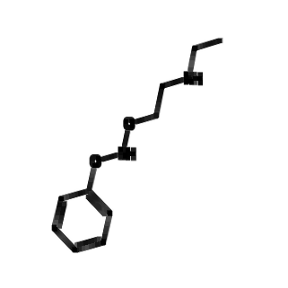 CCNCCOBOc1ccccc1